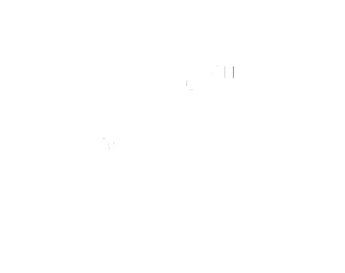 COc1cc(CBr)c2ccccc2c1